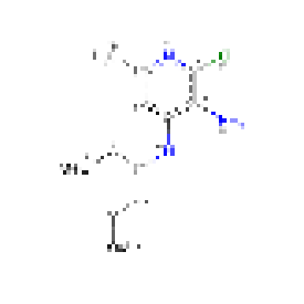 COCCC(COC)Nc1cc(C)nc(Cl)c1N